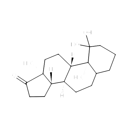 C[C@@]12C(CCCC1(O)O)CC[C@@H]1[C@@H]2CC[C@]2(C)C(=O)CC[C@@H]12